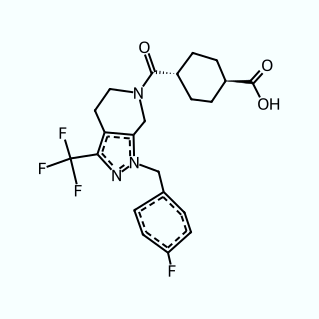 O=C(O)[C@H]1CC[C@H](C(=O)N2CCc3c(C(F)(F)F)nn(Cc4ccc(F)cc4)c3C2)CC1